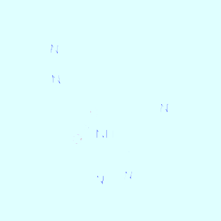 CN1CCN(c2cccc(S(=O)(=O)Nc3ccnc4c3c(-c3ccc5c(c3)N(C)CC5)cn4C)c2)CC1